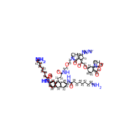 CN(CCOCCNC(=O)CCC12c3cc(NC(=O)CCCCCCCN)ccc3C(c3ccc(NC(=O)CCCCCCCN)cc31)c1ccc(NC(=O)CCCCCCCN)cc12)C(=O)C1CC(N=[N+]=[N-])CC1C(=O)COc1ccc2c(=O)oc(=O)n(C)c2c1